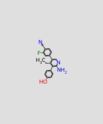 CCc1c(-c2ccc(C#N)c(F)c2)cnc(N)c1-c1ccc(O)cc1